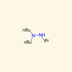 CCCCN(CCCC)NC(C)C